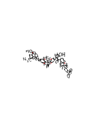 Cc1ccc(C(=O)O)c(C(=O)Nc2ccc(C(c3ccc(NC(=O)c4cc(C(c5ccc6c(c5)C(=O)OC6=O)(C(F)(F)F)C(F)(F)F)ccc4C(=O)O)cc3)(C(F)(F)F)C(F)(F)F)cc2)c1